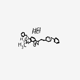 CN(C)Cc1c(OCc2ccccc2)ccc2c(CCC3CCN(Cc4ccccc4)CC3)noc12.Cl.Cl